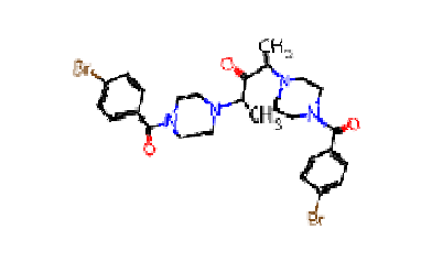 CC(C(=O)C(C)N1CCN(C(=O)c2ccc(Br)cc2)CC1)N1CCN(C(=O)c2ccc(Br)cc2)CC1